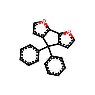 c1ccc(C2(c3ccccc3)c3ccoc3-c3occc32)cc1